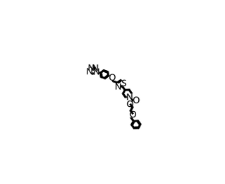 O=C(OCCOCc1ccccc1)N1CCC(c2nc(COc3ccc(-n4cnnn4)cc3)cs2)CC1